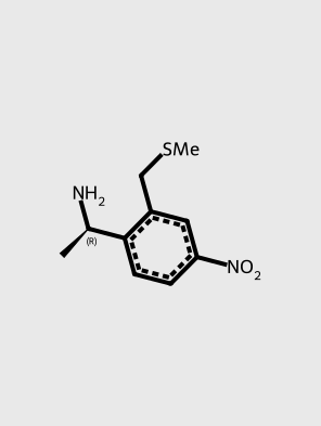 CSCc1cc([N+](=O)[O-])ccc1[C@@H](C)N